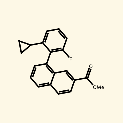 COC(=O)c1ccc2cccc(-c3c(F)cccc3C3CC3)c2c1